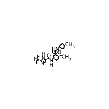 CCc1ccc(NC(=O)c2cnc(C(F)(F)F)[nH]2)cc1S(=O)(=O)Nc1ccc(C)cc1